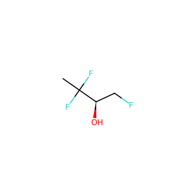 CC(F)(F)[C@H](O)CF